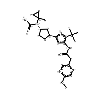 COc1cnc(CC(=O)Nc2cc([C@H]3CC[C@H](N(C(=O)O)C4(C)CC4)C3)nn2C(C)(C)C)cn1